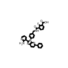 Nc1ncccc1-c1nc2ccc(-c3ccccc3)nc2n1-c1ccc(CNC(=O)c2cccc(C(=O)O)c2F)cc1